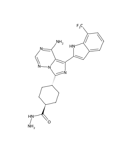 NNC(=O)[C@H]1CC[C@H](c2nc(-c3cc4cccc(C(F)(F)F)c4[nH]3)c3c(N)ncnn32)CC1